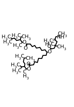 CNC[C@@H](C)CC(C)(C)CC(=O)OC(CCCCCCCC(=O)OC(C)C(CCC(C)C)C(C)C)CCCCCCCC(=O)OC(C)C(CCC(C)C)C(C)C